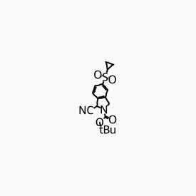 CC(C)(C)OC(=O)N1Cc2cc(S(=O)(=O)C3CC3)ccc2C1C#N